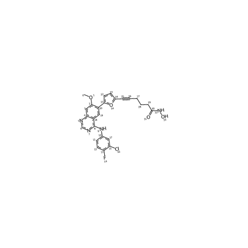 COc1cc2ncnc(Nc3ccc(F)c(Cl)c3)c2cc1-c1ccc(C#CCCCC(=O)NO)o1